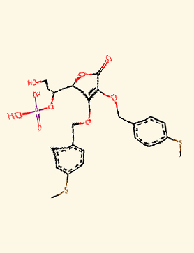 CSc1ccc(COC2=C(OCc3ccc(SC)cc3)[C@@H]([C@H](CO)OP(=O)(O)O)OC2=O)cc1